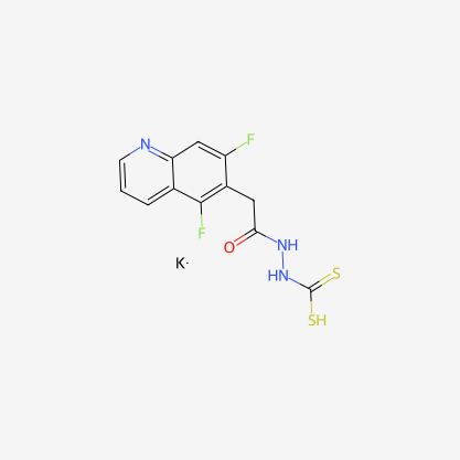 O=C(Cc1c(F)cc2ncccc2c1F)NNC(=S)S.[K]